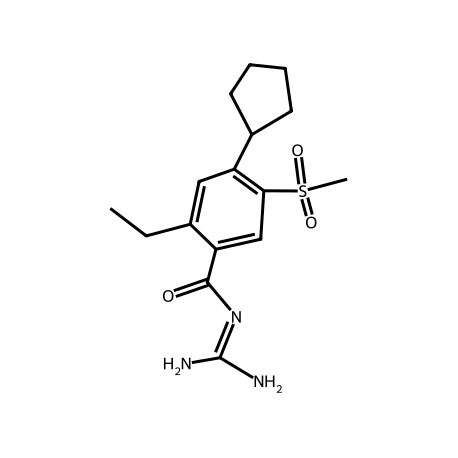 CCc1cc(C2CCCC2)c(S(C)(=O)=O)cc1C(=O)N=C(N)N